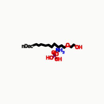 CCCCCCCCCCCCCCCCCC(N)CCOCCO.O=P(O)(O)O